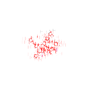 CC1OC(CO)C(OC2OC(CO)C(OC3OC(COC4OC(COC5OC(CO)C(O)[C@H](O)[C@H]5O)C(O)[C@H](O[C@@H](O)C(O[C@H]5O[C@@H](CO)C(O)C(O)C5O)C(O)[C@H](O)[C@@H](I)CO)[C@H]4O)C(O)[C@H](O[C@@H](O)C(O[C@@H](O)C(O[C@H]4O[C@@H](CO)C(O)C(O)C4O)C(O)[C@H](O)[C@@H](I)CO)C(O)[C@H](O)[C@@H](I)CO)[C@H]3O)[C@H](O)[C@@H]2C)[C@@H](O)[C@@H]1C